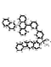 CC1(C)c2ccc(-c3cccc(-c4c5ccccc5c(-c5ccc6ccccc6c5)c5ccccc45)c3)cc2-c2c1ccc1cc3c(cc21)oc1ccccc13